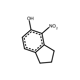 O=[N+]([O-])c1c(O)ccc2c1CCC2